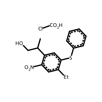 CCc1cc([N+](=O)[O-])c(C(C)CO)cc1Sc1ccccc1.O=C(O)Cl